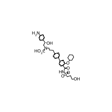 Nc1ccc([C@H](O)CN(CCCc2ccc(-c3ccc(C(=O)NS(=O)(=O)CCCO)c(OC4CCCCC4)c3)cc2)C(=O)O)cc1